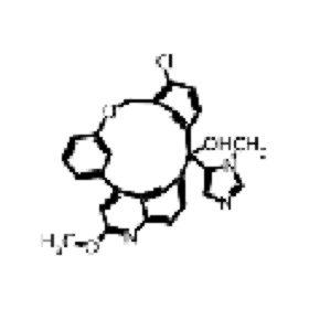 COc1cc2c3cc(ccc3n1)[C@@](O)(c1cncn1C)c1ccc(Cl)c(c1)COc1cccc-2c1